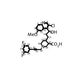 COc1ccc2ncc(Cl)c([C@H](O)CCC3CCN(CC#Cc4cc(F)cc(F)c4)CC3C(=O)O)c2c1